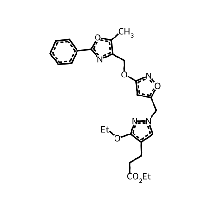 CCOC(=O)CCc1cn(Cc2cc(OCc3nc(-c4ccccc4)oc3C)no2)nc1OCC